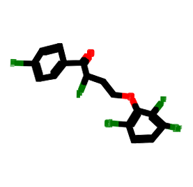 O=C(c1ccc(F)cc1)C(F)CCOc1c(Cl)ccc(Br)c1F